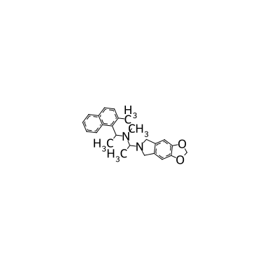 Cc1ccc2ccccc2c1C(C)N(C)C(C)N1Cc2cc3c(cc2C1)OCO3